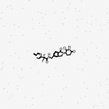 C=C/C=N\C(=C/C)C(F)(F)C(=O)NCc1ccc2c(c1)CN(C1CCC(=O)NC1=O)C2=O